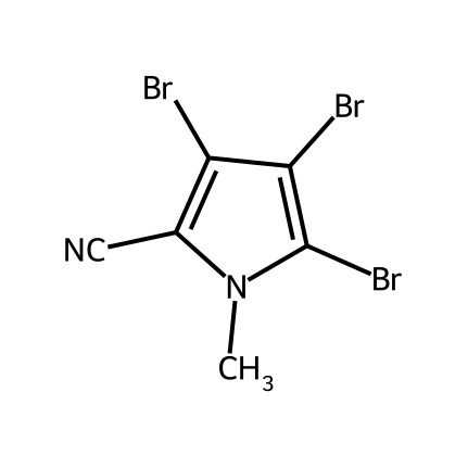 Cn1c(Br)c(Br)c(Br)c1C#N